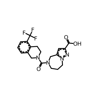 O=C(O)c1cc2n(n1)CCCN(C(=O)N1CCc3c(cccc3C(F)(F)F)C1)C2